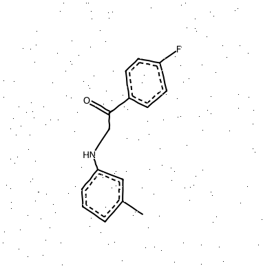 Cc1cccc(NCC(=O)c2ccc(F)cc2)c1